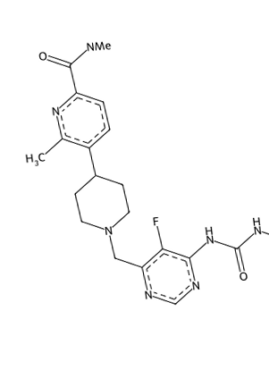 CCNC(=O)Nc1ncnc(CN2CCC(c3ccc(C(=O)NC)nc3C)CC2)c1F